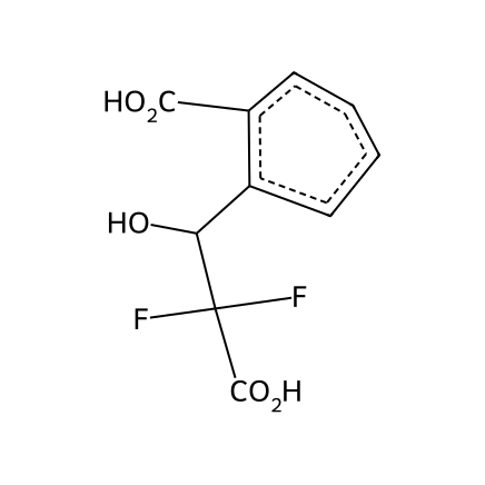 O=C(O)c1ccccc1C(O)C(F)(F)C(=O)O